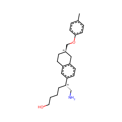 Cc1ccc(OC[C@@H]2CCc3cc([C@H](CN)CCCCO)ccc3C2)cc1